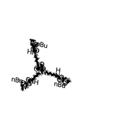 CCCCOCC(CN1CC1)OC(=O)NCCCCCC/N=c1\oc(=O)n(CCCCCCNC(=O)OC(COCCCC)CN2CC2)c(=O)n1CCCCCCNC(=O)OC(COCCCC)CN1CC1